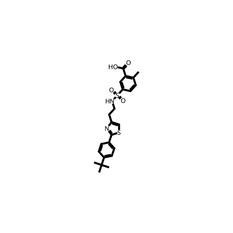 Cc1ccc(S(=O)(=O)NCCc2csc(-c3ccc(C(C)(C)C)cc3)n2)cc1C(=O)O